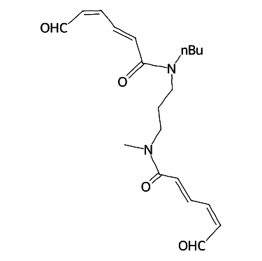 CCCCN(CCCN(C)C(=O)/C=C/C=C\C=O)C(=O)/C=C/C=C\C=O